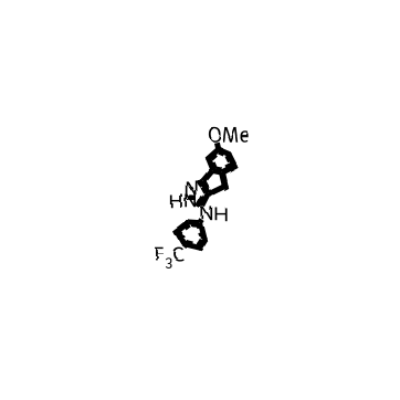 COc1ccc2c(c1)-c1n[nH]c(Nc3ccc(C(F)(F)F)cc3)c1C2